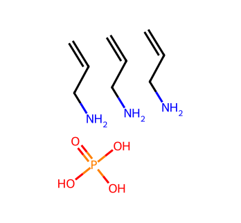 C=CCN.C=CCN.C=CCN.O=P(O)(O)O